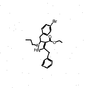 CCCN1NC(Cc2ccccc2)=C(C(=O)OCC)C1Cc1ccc(Br)cc1